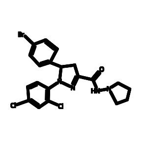 O=C(NN1CCCC1)C1=NN(c2ccc(Cl)cc2Cl)C(c2ccc(Br)cc2)C1